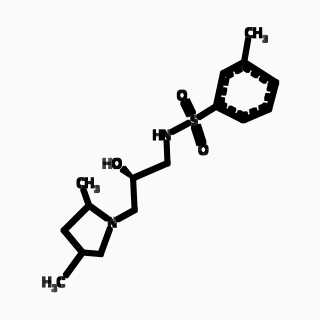 Cc1cccc(S(=O)(=O)NC[C@H](O)CN2CC(C)CC2C)c1